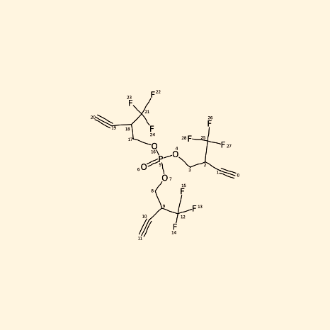 C#CC(COP(=O)(OCC(C#C)C(F)(F)F)OCC(C#C)C(F)(F)F)C(F)(F)F